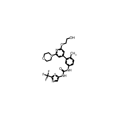 Cc1ccc(NC(=O)Nc2cnc(C(F)(F)F)s2)cc1-c1cc(OCCO)nc(N2CCOCC2)c1